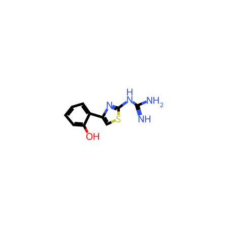 N=C(N)Nc1nc(-c2ccccc2O)cs1